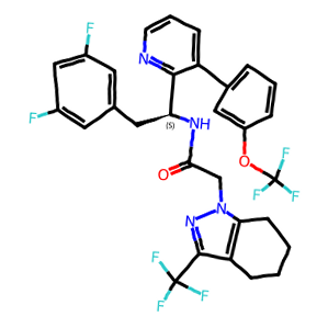 O=C(Cn1nc(C(F)(F)F)c2c1CCCC2)N[C@@H](Cc1cc(F)cc(F)c1)c1ncccc1-c1cccc(OC(F)(F)F)c1